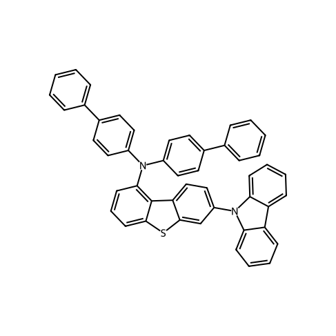 c1ccc(-c2ccc(N(c3ccc(-c4ccccc4)cc3)c3cccc4sc5cc(-n6c7ccccc7c7ccccc76)ccc5c34)cc2)cc1